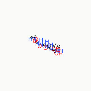 COc1cc(CNC[C@@H](O)c2ccc(O)c3[nH]c(=O)ccc23)ccc1NC(=O)c1cccc(CNC(=O)CCN2CCC(OC(=O)Nc3ccccc3-c3ccccc3)CC2)c1